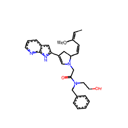 C/C=C(\C=C/C1CC(c2cc3cccnc3[nH]2)=CN1CC(=O)N(CCO)Cc1ccccc1)OC